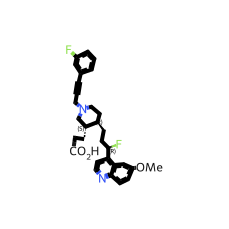 COc1ccc2nccc([C@H](F)CC[C@@H]3CCN(CC#Cc4cccc(F)c4)C[C@H]3CCC(=O)O)c2c1